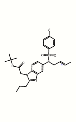 C/C=C/CN(c1ccc2c(c1)nc(CCC)n2CC(=O)OC(C)(C)C)S(=O)(=O)c1ccc(F)cc1